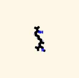 C/N=C/C(=C\C(C)=C/C=C/C=C\C(=N)C(C)C)C(C)C